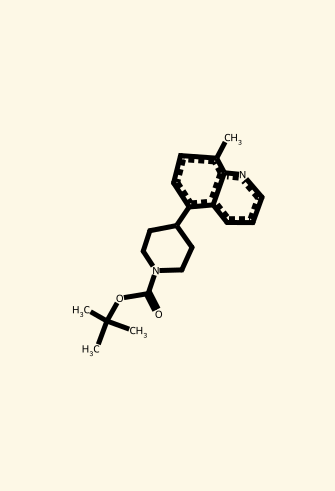 Cc1ccc(C2CCN(C(=O)OC(C)(C)C)CC2)c2cccnc12